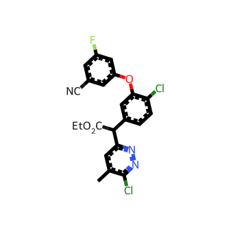 CCOC(=O)C(c1ccc(Cl)c(Oc2cc(F)cc(C#N)c2)c1)c1cc(C)c(Cl)nn1